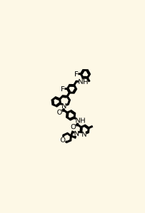 Cc1cnc(N2CC3(CCOCC3)C2)c(C(=O)Nc2ccc(C(=O)N3CCC(c4ccc(CNc5c(C)cccc5F)cc4F)=Cc4ccccc43)cc2)c1